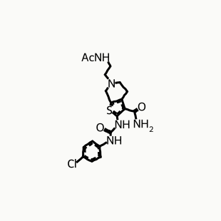 CC(=O)NCCN1CCc2c(sc(NC(=O)Nc3ccc(Cl)cc3)c2C(N)=O)C1